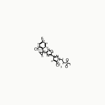 CS(=O)(=O)CCn1nc(-c2nc(C3(c4ccc(F)cc4Cl)CC3)no2)cc1C(F)(F)F